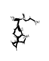 CN(CCO)C(=O)c1ccc2c(c1)NCC21CC1